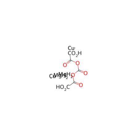 O=C(OC(=O)C(=O)O)OC(=O)C(=O)O.[Cu].[Cu].[MgH2].[MgH2]